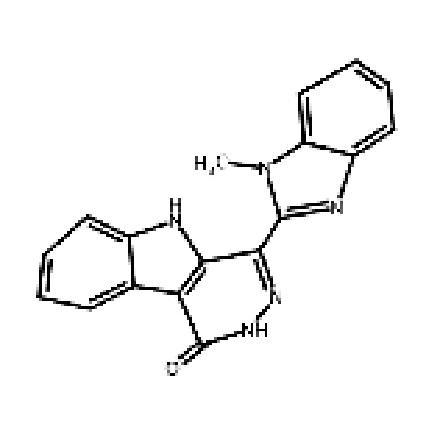 Cn1c(-c2n[nH]c(=O)c3c2[nH]c2ccccc23)nc2ccccc21